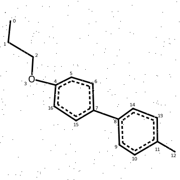 CCCOc1ccc(-c2ccc(C)cc2)cc1